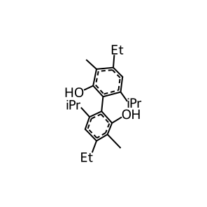 CCc1cc(C(C)C)c(-c2c(C(C)C)cc(CC)c(C)c2O)c(O)c1C